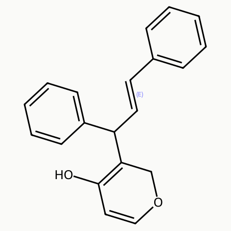 OC1=C(C(/C=C/c2ccccc2)c2ccccc2)COC=C1